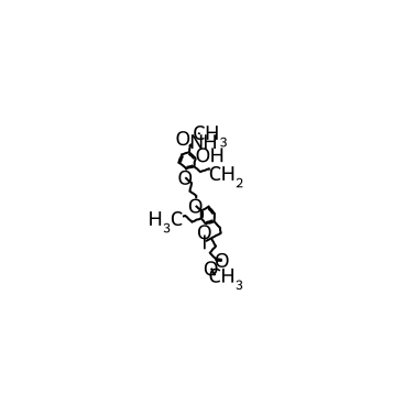 C=CCc1c(OCCCOc2ccc3c(c2CCC)OC(I)(CCC(=O)OC)CC3)ccc(C(=O)NC)c1O